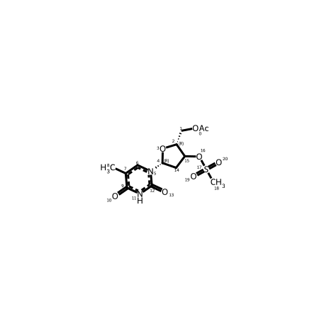 CC(=O)OC[C@H]1O[C@@H](n2cc(C)c(=O)[nH]c2=O)CC1OS(C)(=O)=O